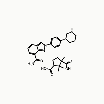 CC1(C(=O)O)CCC(C(=O)O)C1(C)C.NC(=O)c1cccc2cn(-c3ccc([C@@H]4CCCNC4)cc3)nc12